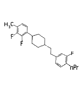 CCCc1ccc(CCC2CCC(c3ccc(C)c(F)c3F)CC2)cc1F